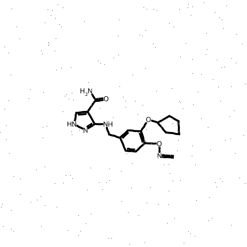 C=NOc1ccc(CNc2n[nH]cc2C(N)=O)cc1OC1CCCC1